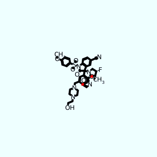 COc1ccc(S(=O)(=O)N2C(=O)C(c3cc(CN4CCN(CCO)CC4)ccc3OC)(N3C[C@H](F)C[C@H]3c3ncco3)c3cc(C#N)ccc32)cc1